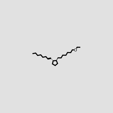 CCCCCCC=C[C@H]1CCC[C@@H]1CCCCCCCOCC